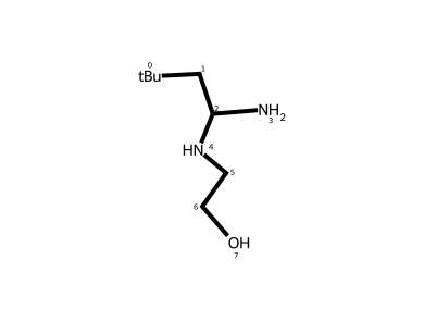 CC(C)(C)CC(N)NCCO